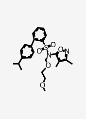 COCCOCN(c1onc(C)c1C)S(=O)(=O)c1ccccc1-c1ccc(C(C)C)cc1